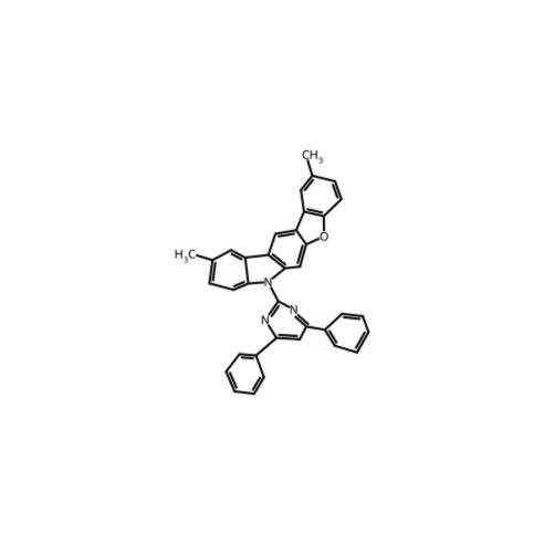 Cc1ccc2oc3cc4c(cc3c2c1)c1cc(C)ccc1n4-c1nc(-c2ccccc2)cc(-c2ccccc2)n1